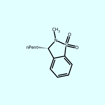 CCCCC[C@H]1c2ccccc2S(=O)(=O)N1C